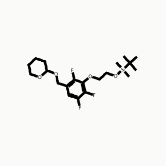 CC(C)(C)[Si](C)(C)OCCOc1c(F)c(F)cc(COC2CCCCO2)c1F